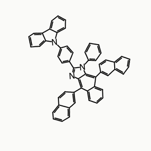 c1ccc(-n2c(-c3ccc(-n4c5ccccc5c5ccccc54)cc3)nc3c(-c4ccc5ccccc5c4)c4ccccc4c(-c4ccc5ccccc5c4)c32)cc1